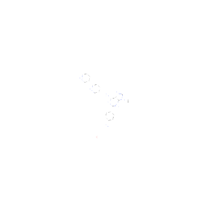 CC(C)n1cnc2c(NCc3ccc(-c4cccnc4)nc3)nc(-c3ccc(NCCCO)cc3)nc21